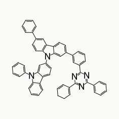 C1=CC(c2nc(-c3ccccc3)nc(-c3cccc(-c4ccc5c6cc(-c7ccccc7)ccc6n(-c6ccc7c8ccccc8n(-c8ccccc8)c7c6)c5c4)c3)n2)=CCC1